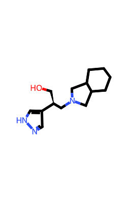 OC[C@@H](CN1CC2CCCCC2C1)c1cn[nH]c1